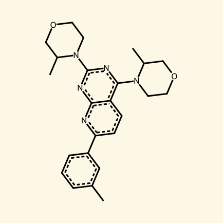 Cc1cccc(-c2ccc3c(N4CCOCC4C)nc(N4CCOCC4C)nc3n2)c1